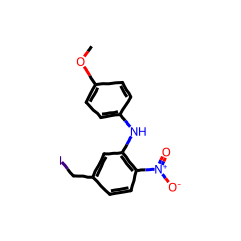 COc1ccc(Nc2cc(CI)ccc2[N+](=O)[O-])cc1